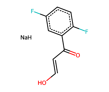 O=C(C=CO)c1cc(F)ccc1F.[NaH]